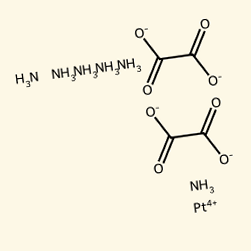 N.N.N.N.N.N.O=C([O-])C(=O)[O-].O=C([O-])C(=O)[O-].[Pt+4]